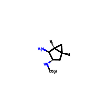 N[C@H]1[C@H]2C[C@@H]2C[C@@H]1NC(=O)O